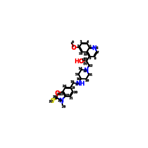 COc1ccc2nccc([C@H](O)CN3CCC(NCc4ccc5c(c4)oc(=S)n5C)CC3)c2c1